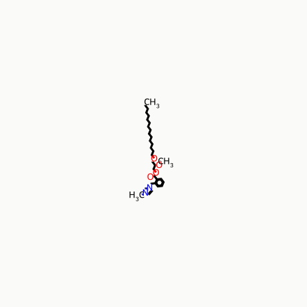 CCCCCCCCCCCCCCCCOCC(COC(=O)c1ccccc1CN1C=CN(C)C1)OC